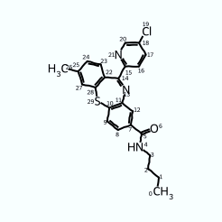 CCCCNC(=O)c1ccc2c(c1)N=C(c1ccc(Cl)cn1)c1ccc(C)cc1S2